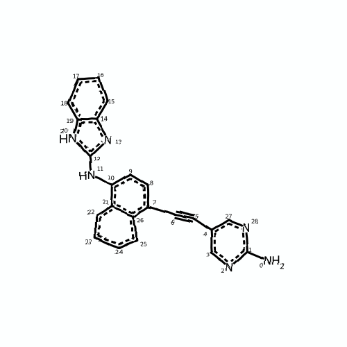 Nc1ncc(C#Cc2ccc(Nc3nc4ccccc4[nH]3)c3ccccc23)cn1